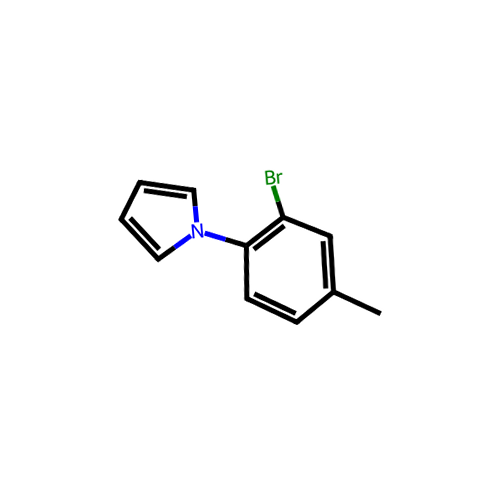 Cc1ccc(-n2cccc2)c(Br)c1